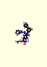 CCCCc1nc2cc3c(cc2[nH]c1=O)nc(-c1cccc(-c2ccncc2)c1)n3CCCN1CCCCC1